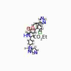 CCOC(=O)C1=C(c2ccc(-n3c(C)nc4cnccc43)cc2)NC(C)=C(C(=O)OCC#Cc2cncnc2)C1/C=C/c1ccccc1Cl